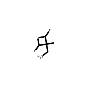 CC1(CN)C(F)OC1F